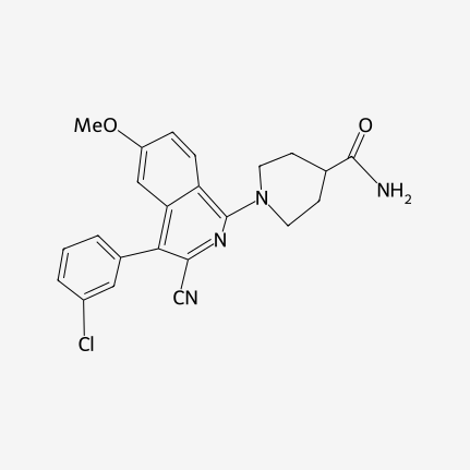 COc1ccc2c(N3CCC(C(N)=O)CC3)nc(C#N)c(-c3cccc(Cl)c3)c2c1